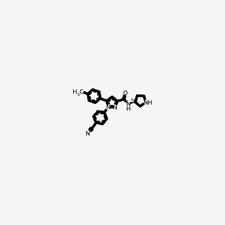 Cc1ccc(-c2cc(C(=O)N[C@H]3CCNC3)nn2-c2ccc(C#N)cc2)cc1